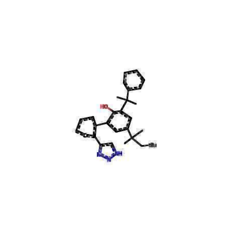 CC(C)(C)CC(C)(C)c1cc(-c2ccccc2-c2c[nH]nn2)c(O)c(C(C)(C)c2ccccc2)c1